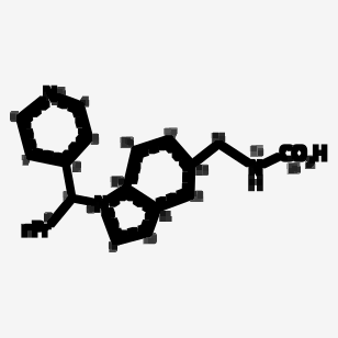 CCCC(c1ccncc1)n1ccc2cc(CNC(=O)O)ccc21